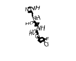 OC(COc1ccc(Cl)c(F)c1)NC12CC(C(O)NCCc3cnc[nH]3)(C1)C2